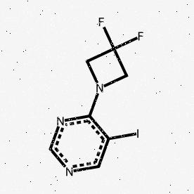 FC1(F)CN(c2ncncc2I)C1